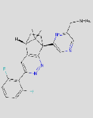 CC(=O)NCc1cncc([C@@]23CC[C@@H](c4cc(-c5c(F)cccc5F)nnc42)C3(C)C)n1